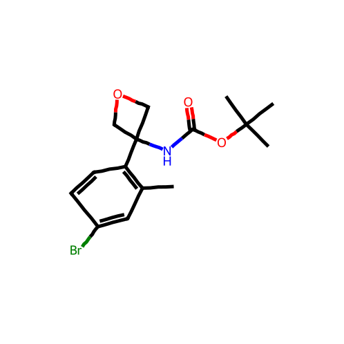 Cc1cc(Br)ccc1C1(NC(=O)OC(C)(C)C)COC1